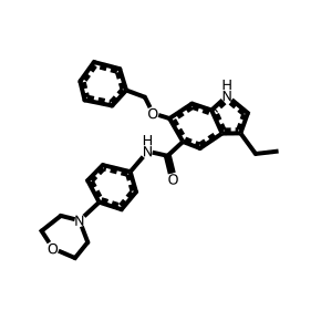 CCc1c[nH]c2cc(OCc3ccccc3)c(C(=O)Nc3ccc(N4CCOCC4)cc3)cc12